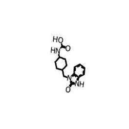 O=C(O)NC1CCC(Cn2c(=O)[nH]c3ccccc32)CC1